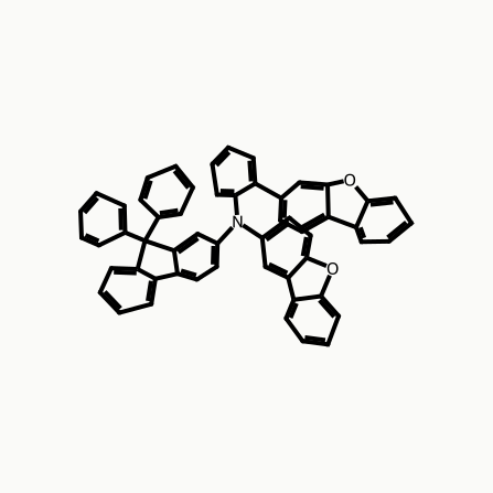 c1ccc(C2(c3ccccc3)c3ccccc3-c3ccc(N(c4ccc5oc6ccccc6c5c4)c4ccccc4-c4ccc5c(c4)oc4ccccc45)cc32)cc1